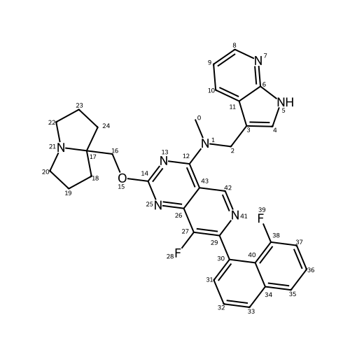 CN(Cc1c[nH]c2ncccc12)c1nc(OCC23CCCN2CCC3)nc2c(F)c(-c3cccc4cccc(F)c34)ncc12